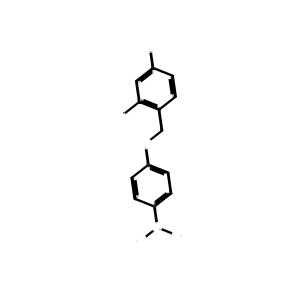 OB(O)c1ccc(OCc2ccc(Cl)cc2Cl)cc1